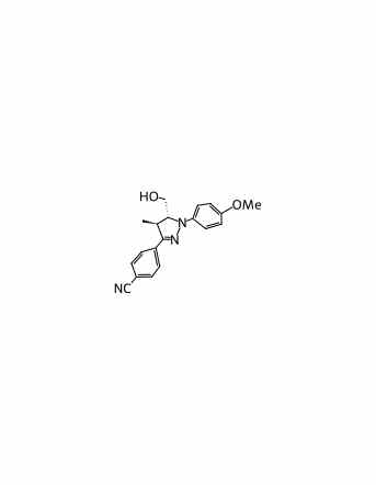 COc1ccc(N2N=C(c3ccc(C#N)cc3)[C@@H](C)[C@@H]2CO)cc1